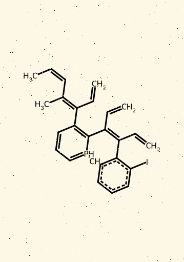 C=C/C(C1=C(/C(C=C)=C(C)/C=C\C)C=CC=[PH]1C)=C(\C=C)c1ccccc1I